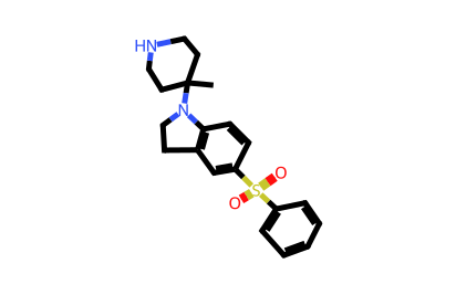 CC1(N2CCc3cc(S(=O)(=O)c4ccccc4)ccc32)CCNCC1